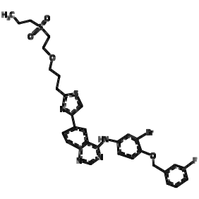 CCCS(=O)(=O)CCOCCCc1nc(-c2ccc3ncnc(Nc4ccc(OCc5cccc(F)c5)c(Br)c4)c3c2)cs1